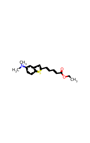 CCOC(=O)C=CC=Cc1cc2cc(N(C)C)ccc2s1